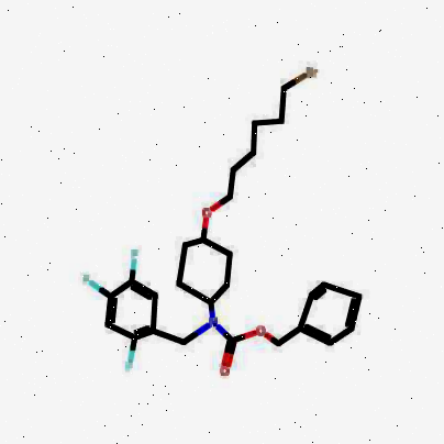 O=C(OCc1ccccc1)N(Cc1cc(F)c(F)cc1F)C1CCC(OCCCCCCBr)CC1